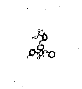 O=C1N=C(NC2CCCCC2)C2(CCN(Cc3ccccc3N(O)O)CC2)N1c1cccc(F)c1